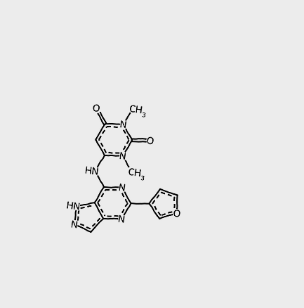 Cn1c(Nc2nc(-c3ccoc3)nc3cn[nH]c23)cc(=O)n(C)c1=O